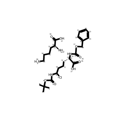 CC(C)(C)OC(=O)NC(Cl)CCC[C@H](NC(=O)OCc1ccccc1)C(=O)O.NCCCC[C@H](N)C(=O)O